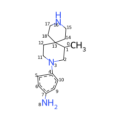 CC1CN(c2ccc(N)cc2)CCC12CCNCC2